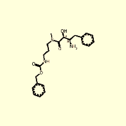 CN(CCCNC(=O)OCc1ccccc1)C(=O)[C@@H](O)[C@H](N)Cc1ccccc1